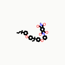 CCCC(C)(C)c1cccc(Oc2ccc(C(C)(CC)c3ccc(Oc4cccc(-n5c(=O)c6cc7c(=O)n(C)c(=O)c7cc6c5=O)c4)cc3)cc2)c1